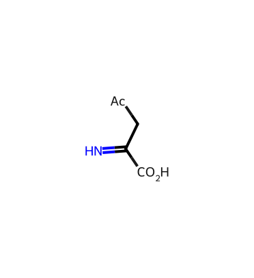 CC(=O)CC(=N)C(=O)O